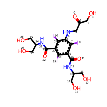 O=C(CO)CNc1c(I)c(C(=O)NC(CO)CO)c(I)c(C(=O)NC(CO)CO)c1I